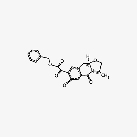 C[C@H]1CO[C@@H]2Cn3cc(C(=O)C(=O)OCc4ccccc4)c(=O)cc3C(=O)N12